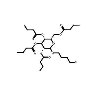 CCCC(=O)OC[C@H]1OC(OCCCCBr)[C@H](OC(=O)CCC)[C@@H](OC(=O)CCC)[C@@H]1OC(=O)CCC